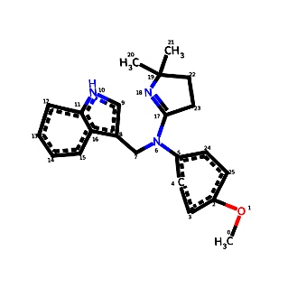 COc1ccc(N(Cc2c[nH]c3ccccc23)C2=NC(C)(C)CC2)cc1